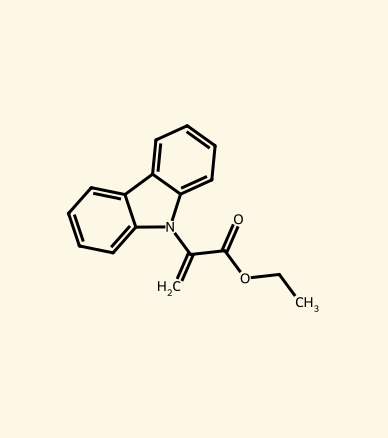 C=C(C(=O)OCC)n1c2ccccc2c2ccccc21